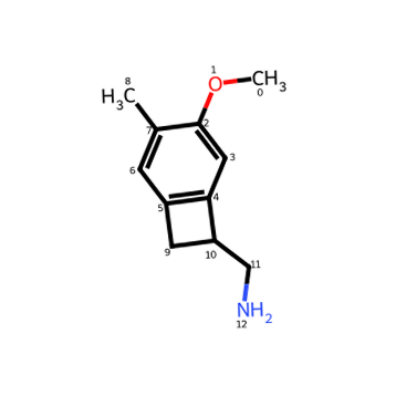 COc1cc2c(cc1C)CC2CN